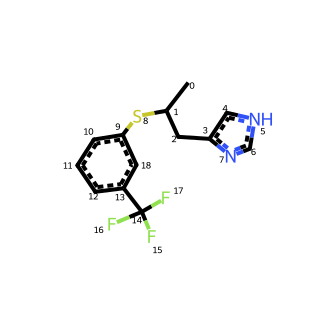 CC(Cc1c[nH]cn1)Sc1cccc(C(F)(F)F)c1